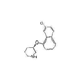 Clc1ccc2cccc(O[C@@H]3CCCNC3)c2c1